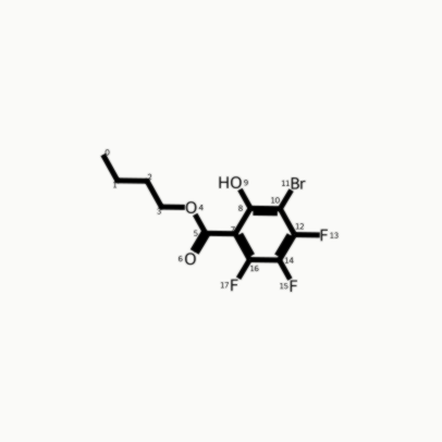 CCCCOC(=O)c1c(O)c(Br)c(F)c(F)c1F